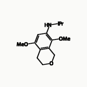 COc1cc(NC(C)C)c(OC)c2c1CCOC2